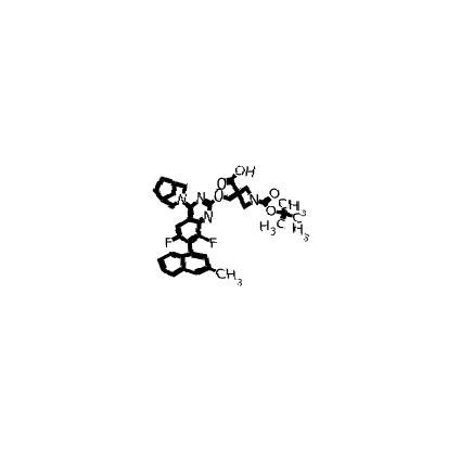 Cc1cc(-c2c(F)cc3c(N4CC5CCC(C5)C4)nc(OCC4(C(=O)O)CN(C(=O)OC(C)(C)C)C4)nc3c2F)c2ccccc2c1